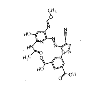 COC=Nc1cc(O)c(NC(C)=O)nc1N=Nc1c(C#N)cnn1-c1cc(C(=O)O)cc(C(=O)O)c1